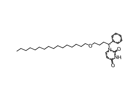 CCCCCCCCCCCCCCCCOCCC[C](c1ccccc1)n1ccc(=O)[nH]c1=O